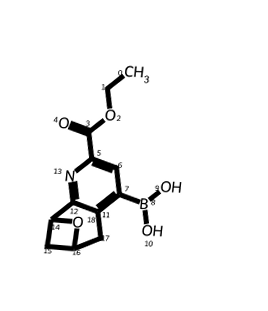 CCOC(=O)c1cc(B(O)O)c2c(n1)C1CC(C2)O1